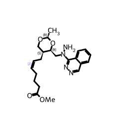 COC(=O)CCC/C=C\C[C@H]1CO[C@@H](C)O[C@H]1CN(N)c1nncc2ccccc12